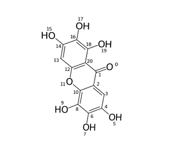 O=c1c2cc(O)c(O)c(O)c2oc2cc(O)c(O)c(O)c12